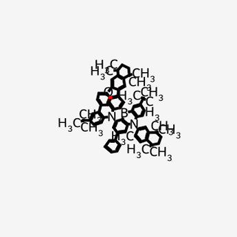 Cc1cc2c(cc1N1c3ccc(C(C)(C)C)cc3B3c4cc5c(cc4N(c4ccc(C(C)(C)C)cc4-c4ccccc4)c4cc(-c6ccccc6)cc1c43)oc1cc3c(cc15)C(C)(C)CCC3(C)C)C(C)(C)CCC2(C)C